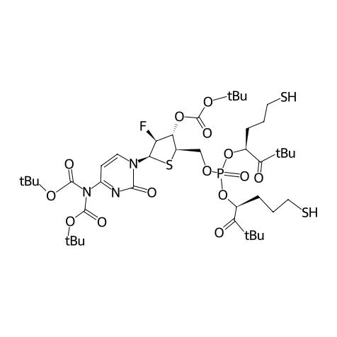 CC(C)(C)OC(=O)O[C@H]1[C@H](F)[C@H](n2ccc(N(C(=O)OC(C)(C)C)C(=O)OC(C)(C)C)nc2=O)S[C@@H]1COP(=O)(O[C@@H](CCCS)C(=O)C(C)(C)C)O[C@@H](CCCS)C(=O)C(C)(C)C